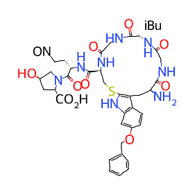 CC[C@H](C)[C@@H]1NC(=O)CNC(=O)[C@@H](N)Cc2c([nH]c3cc(OCc4ccccc4)ccc23)SC[C@@H](C(=O)N[C@@H](CCN=O)C(=O)N2C[C@H](O)CC2C(=O)O)NC(=O)CNC1=O